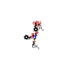 CCCCSCCN(CCOc1ccc(CC(OCC)C(=O)O)cc1)C(=O)OCCc1ccccc1